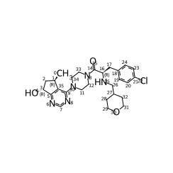 C[C@@H]1C[C@@H](O)c2ncnc(N3CCN(C(=O)[C@@H](Cc4ccc(Cl)cc4)NCC4CCOCC4)CC3)c21